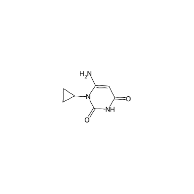 Nc1cc(=O)[nH]c(=O)n1C1CC1